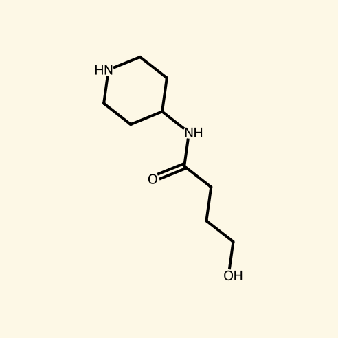 O=C(CCCO)NC1CCNCC1